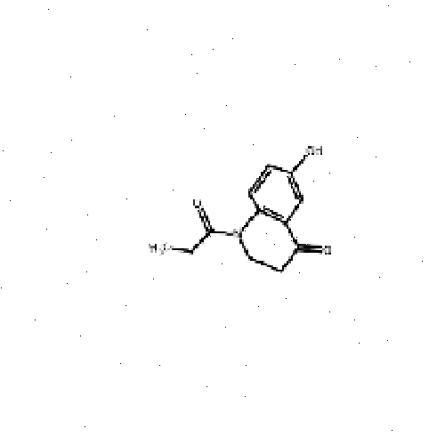 CCC(=O)N1CCC(=O)c2cc(O)ccc21